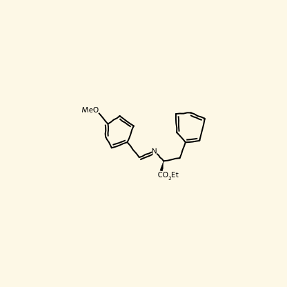 CCOC(=O)[C@H](Cc1ccccc1)/N=C/c1ccc(OC)cc1